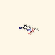 COC[C@@H](Cc1ccc(C#N)cc1)NC(=O)O